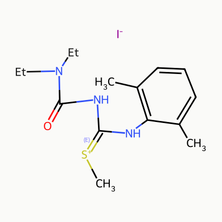 CCN(CC)C(=O)N/C(Nc1c(C)cccc1C)=[S+]/C.[I-]